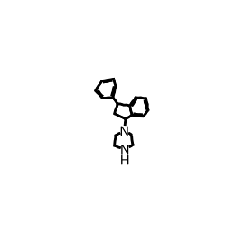 c1ccc(C2CC(N3CCNCC3)c3ccccc32)cc1